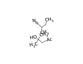 CC(=O)CC(C)(C)O.CCC(C)C#N